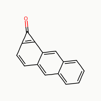 O=c1c2ccc3cc4ccccc4cc3c12